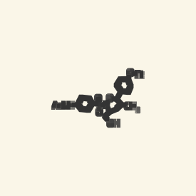 CCOc1ccc(C2ON(S(=O)(=O)c3ccc(NC(C)=O)cc3)C(CO)C=C2C)cc1